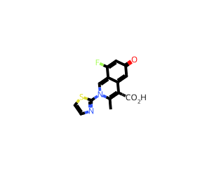 Cc1c(C(=O)O)c2cc(=O)cc(F)c-2cn1-c1nccs1